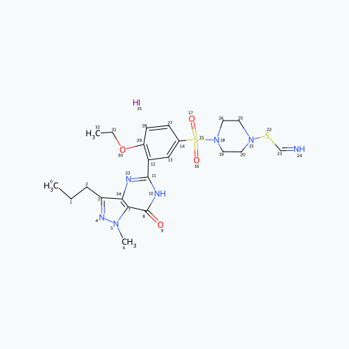 CCCc1nn(C)c2c(=O)[nH]c(-c3cc(S(=O)(=O)N4CCN(SC=N)CC4)ccc3OCC)nc12.I